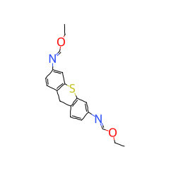 CCOC=Nc1ccc2c(c1)Sc1cc(N=COCC)ccc1C2